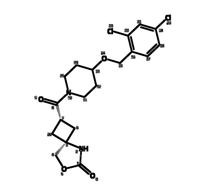 O=C1N[C@]2(CO1)C[C@@H](C(=O)N1CCC(OCc3ccc(Cl)cc3Cl)CC1)C2